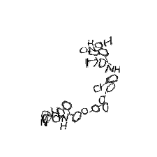 O=C(NC(c1ccccc1)c1cccc(OCc2ccc(C(=O)OCCOc3ccc(CNC[C@H](O)c4ccc(O)c5[nH]c(=O)ccc45)cc3Cl)cc2)c1)O[C@H]1CN2CCC1CC2